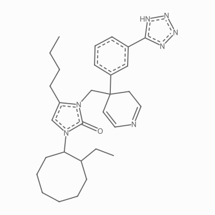 CCCCc1cn(C2CCCCCCC2CC)c(=O)n1CC1(c2cccc(-c3nnn[nH]3)c2)C=CN=CC1